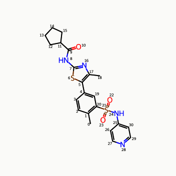 Cc1ccc(-c2sc(NC(=O)C3CCCC3)nc2C)cc1S(=O)(=O)Nc1ccncc1